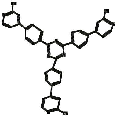 N#Cc1cc(-c2ccc(-c3nc(-c4ccc(-c5ccnc(C#N)c5)cc4)nc(-c4ccc(-c5ccnc(C#N)c5)cc4)n3)cc2)ccn1